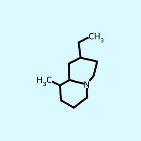 CCC1CCN2CCCC(C)C2C1